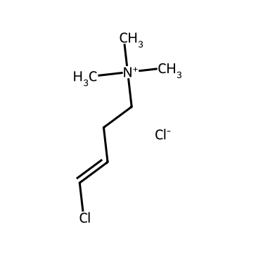 C[N+](C)(C)CCC=CCl.[Cl-]